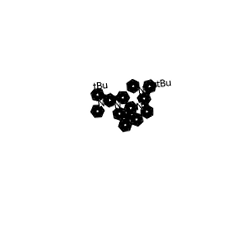 CC(C)(C)c1ccc2c(c1)c1cc3c4ccccc4n(-c4cccc(C(c5ccccc5)(c5ccccc5)c5cccc(-n6c7ccccc7c7cc8c9cc(C(C)(C)C)ccc9n(-c9ccccc9)c8cc76)c5)c4)c3cc1n2-c1ccccc1